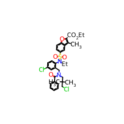 CCOC(=O)c1oc2ccc(S(=O)(=O)N(CC)c3ccc(Cl)cc3CN(CC(C)(C)CCl)C(=O)c3ccccc3)cc2c1C